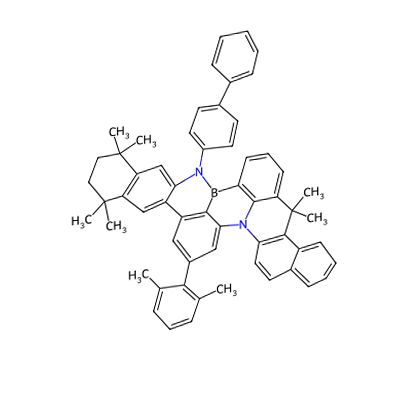 Cc1cccc(C)c1-c1cc2c3c(c1)N1c4ccc5ccccc5c4C(C)(C)c4cccc(c41)B3N(c1ccc(-c3ccccc3)cc1)c1cc3c(cc1-2)C(C)(C)CCC3(C)C